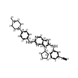 C#Cc1cccc(Nc2nc3cnc(Nc4ccc(N5CCN(C)CC5)cc4)nc3n2C2CCCC2)c1